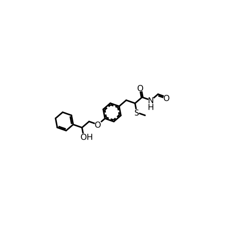 CSC(Cc1ccc(OCC(O)C2=CCCC=C2)cc1)C(=O)NC=O